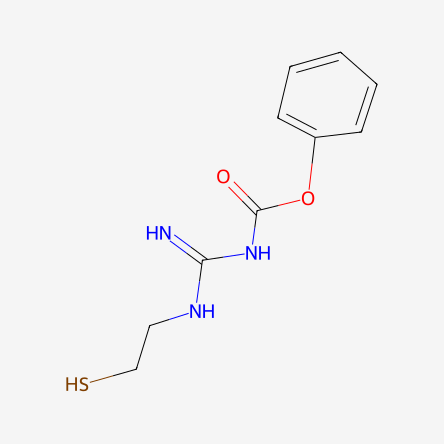 N=C(NCCS)NC(=O)Oc1ccccc1